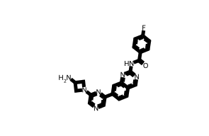 NC1CN(c2cncc(-c3ccc4cnc(NC(=O)c5ccc(F)cc5)nc4c3)n2)C1